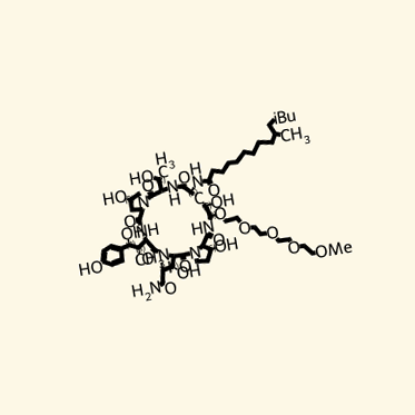 CCC(C)CC(C)CCCCCCCCC(=O)N[C@H]1C[C@@H](O)[C@@H](OCCOCCOCCOCCOC)NC(=O)C2[C@@H](O)CCN2C(=O)C([C@H](O)CC(N)=O)NC(=O)C([C@H](C)[C@@H](O)c2ccc(O)cc2)NC(=O)C2C[C@@H](O)CN2C(=O)C([C@@H](C)O)NC1=O